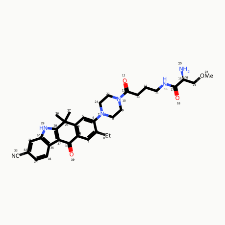 CCc1cc2c(cc1N1CCN(C(=O)CCCNC(=O)[C@@H](N)COC)CC1)C(C)(C)c1[nH]c3cc(C#N)ccc3c1C2=O